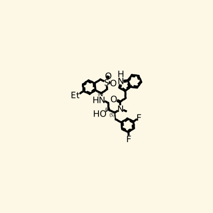 CCc1ccc2c(c1)[C@@H](NC[C@@H](O)[C@H](Cc1cc(F)cc(F)c1)N(C)C(=O)Cc1c[nH]c3ccccc13)CS(=O)(=O)C2